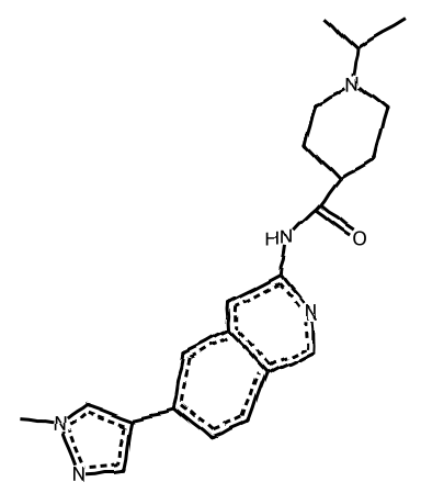 CC(C)N1CCC(C(=O)Nc2cc3cc(-c4cnn(C)c4)ccc3cn2)CC1